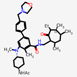 CCC1C(=O)C(CNC(=O)c2cc(-c3ccc(CN4CCOCC4)cc3)cc(N(C)[C@H]3CC[C@H](NC(C)=O)CC3)c2C)C(C)CC(C)[C@@H]1C